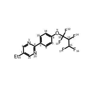 CCc1cnc(-c2ccc(OC(F)(F)C(F)C(F)F)cc2)nc1